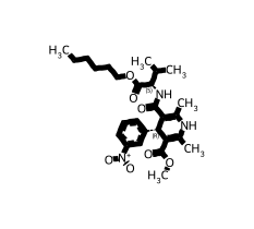 CCCCCCOC(=O)[C@@H](NC(=O)C1=C(C)NC(C)=C(C(=O)OC)[C@@H]1c1cccc([N+](=O)[O-])c1)C(C)C